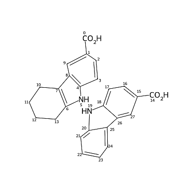 O=C(O)c1ccc2[nH]c3c(c2c1)CCCC3.O=C(O)c1ccc2[nH]c3ccccc3c2c1